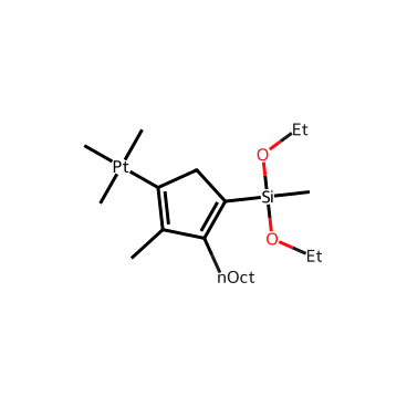 CCCCCCCCC1=C([Si](C)(OCC)OCC)C[C]([Pt]([CH3])([CH3])[CH3])=C1C